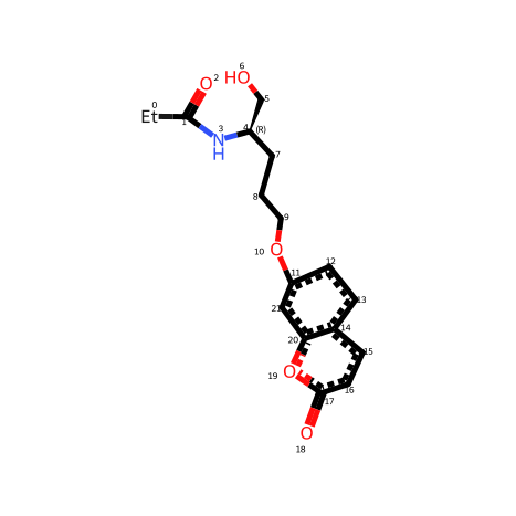 CCC(=O)N[C@@H](CO)CCCOc1ccc2ccc(=O)oc2c1